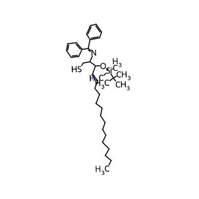 CCCCCCCCCCCCC/C=C/C(O[Si](C)(C)C(C)(C)C)C(CS)N=C(c1ccccc1)c1ccccc1